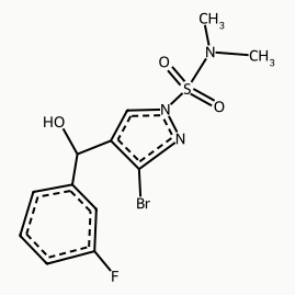 CN(C)S(=O)(=O)n1cc(C(O)c2cccc(F)c2)c(Br)n1